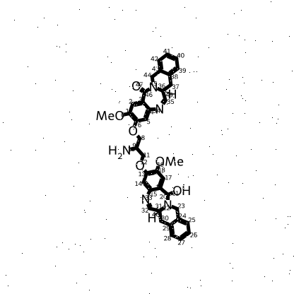 COc1cc2c(cc1OCC(N)COc1cc3c(cc1OC)C(O)N1Cc4ccccc4C[C@H]1C=N3)N=C[C@@H]1Cc3ccccc3CN1C2=O